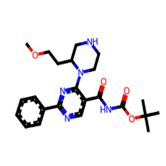 COCCC1CNCCN1c1nc(-c2ccccc2)ncc1C(=O)NC(=O)OC(C)(C)C